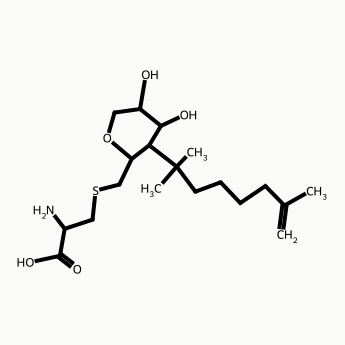 C=C(C)CCCCC(C)(C)C1C(CSCC(N)C(=O)O)OCC(O)C1O